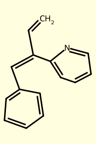 C=CC(=Cc1ccccc1)c1ccccn1